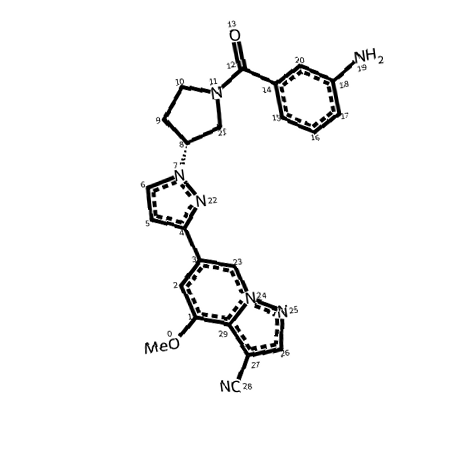 COc1cc(-c2ccn([C@@H]3CCN(C(=O)c4cccc(N)c4)C3)n2)cn2ncc(C#N)c12